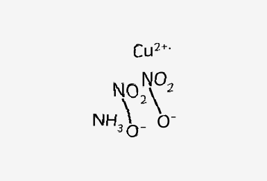 N.O=[N+]([O-])[O-].O=[N+]([O-])[O-].[Cu+2]